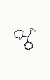 C=CC(c1ccccc1)C1CCCC[N]1